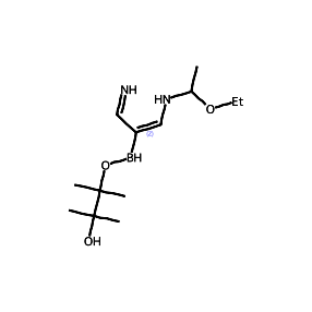 CCOC(C)N/C=C(/BOC(C)(C)C(C)(C)O)C=N